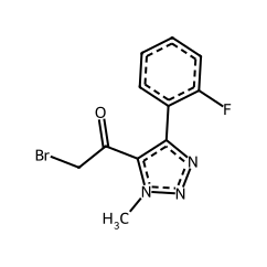 Cn1nnc(-c2ccccc2F)c1C(=O)CBr